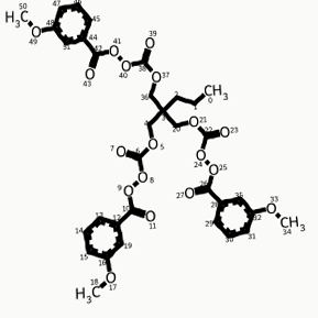 CCCC(COC(=O)OOC(=O)c1cccc(OC)c1)(COC(=O)OOC(=O)c1cccc(OC)c1)COC(=O)OOC(=O)c1cccc(OC)c1